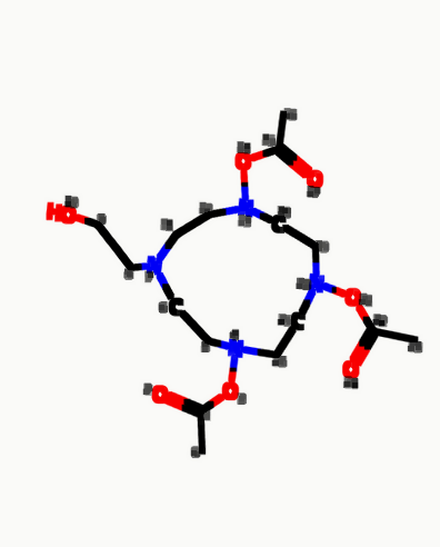 CC(=O)ON1CCN(CCO)CCN(OC(C)=O)CCN(OC(C)=O)CC1